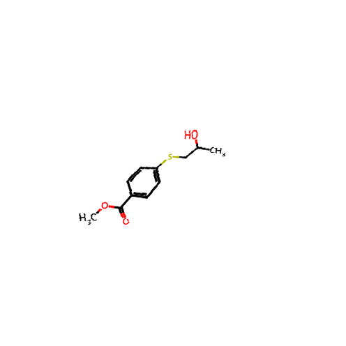 COC(=O)c1ccc(SCC(C)O)cc1